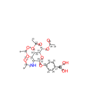 CC(=O)NC1C(OC(C)=O)[C@H](OC(C)=O)C(COC(C)=O)O[C@H]1Oc1ccc(B(O)O)cc1